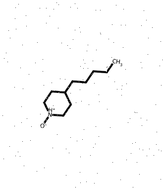 CCCCCC1CC[NH+]([O-])CC1